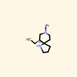 CC(C)N1CCC2(CCCN2)[C@@H](CC#N)C1